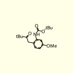 COc1ccc(CC(=O)C(C)(C)C)c(NC(=O)OC(C)(C)C)c1